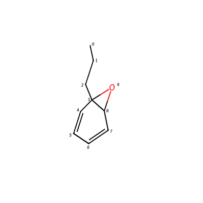 CCCC12C=CC=CC1O2